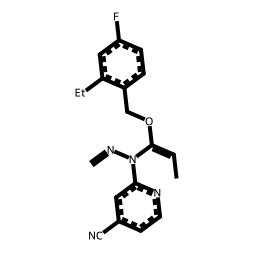 C=NN(/C(=C\C)OCc1ccc(F)cc1CC)c1cc(C#N)ccn1